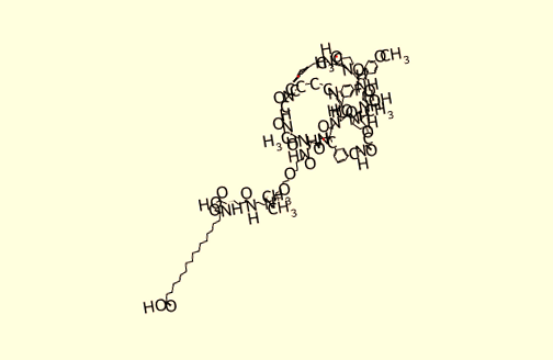 COc1ccc(C[C@@H]2NC(=O)[C@H]([C@@H](C)O)NC(=O)[C@@H]3[C@@H]4CCN3C(=O)[C@@H]3Cc5cn(c6ccc(F)cc56)CCCCCCN(Cc5ccc(cc5)CCNC(=O)[C@]5(C)CCCN5C2=O)C(=O)CCC(=O)N[C@@H](C)C(=O)N[C@H](CNC(=O)CCOCCOCC[N+](C)(C)CCNC(=O)CC[C@H](NC(=O)CCCCCCCCCCCCCCCCC(=O)O)C(=O)O)C(=O)N[C@@H](Cc2cccc(c2)CNC(=O)CO4)C(=O)N3)cc1